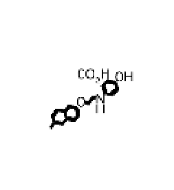 Cc1ccc2cc(OCCNc3ccc(O)c(C(=O)O)c3)ccc2c1